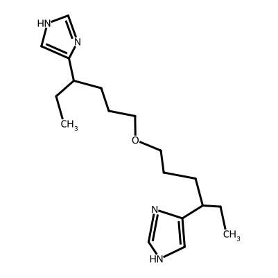 CCC(CCCOCCCC(CC)c1c[nH]cn1)c1c[nH]cn1